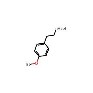 CCCCCCCCCc1ccc(OCC)cc1